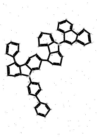 C1=CC(c2ccc3c4c(-c5ccccc5)cccc4n(-c4ccc(-c5ccccc5)cc4)c3c2)C2C(=C1)N(c1cc3ccccc3c3ccccc13)c1ccccc12